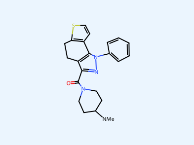 CNC1CCN(C(=O)c2nn(-c3ccccc3)c3c2CCc2sccc2-3)CC1